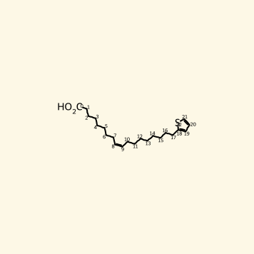 O=C(O)CCCCCCC/C=C\CCCCCCCCc1cccs1